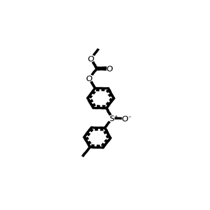 COC(=O)Oc1ccc([S+]([O-])c2ccc(C)cc2)cc1